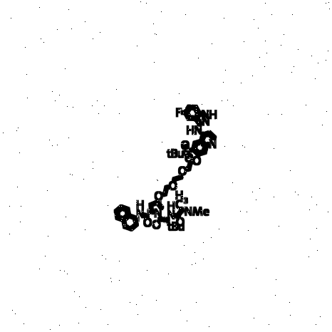 CN[C@@H](C)C(=O)N[C@H](C(=O)N1C[C@@H](OCCOCCOCCOc2cc3nccc(Nc4n[nH]c5ccc(F)cc45)c3cc2S(=O)(=O)C(C)(C)C)C[C@H]1C(=O)N[C@@H]1CCCc2ccccc21)C(C)(C)C